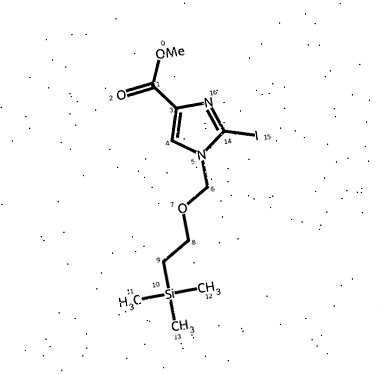 COC(=O)c1cn(COCC[Si](C)(C)C)c(I)n1